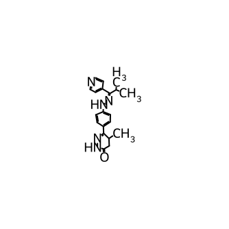 CC(C)C(=NNc1ccc(C2=NNC(=O)CC2C)cc1)c1ccncc1